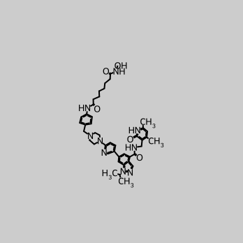 Cc1cc(C)c(CNC(=O)c2cc(-c3ccc(N4CCN(Cc5ccc(NC(=O)CCCCCCC(=O)NO)cc5)CC4)nc3)cc3c2cnn3C(C)C)c(=O)[nH]1